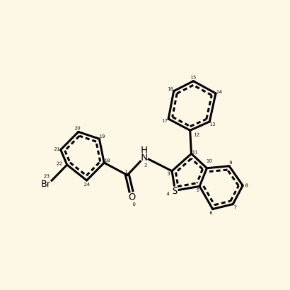 O=C(Nc1sc2ccccc2c1-c1ccccc1)c1cccc(Br)c1